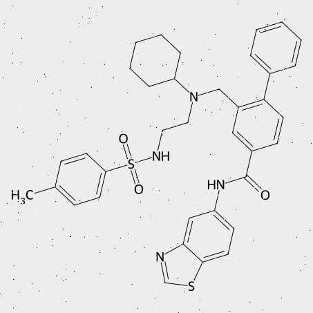 Cc1ccc(S(=O)(=O)NCCN(Cc2cc(C(=O)Nc3ccc4scnc4c3)ccc2-c2ccccc2)C2CCCCC2)cc1